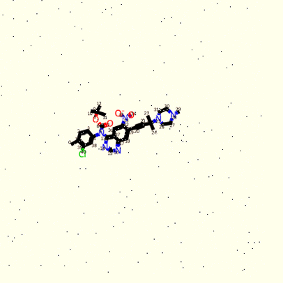 Cc1ccc(N(C(=O)OC(C)(C)C)c2ncnc3cc(C#CC(C)(C)N4CCN(C)CC4)c([N+](=O)[O-])cc23)cc1Cl